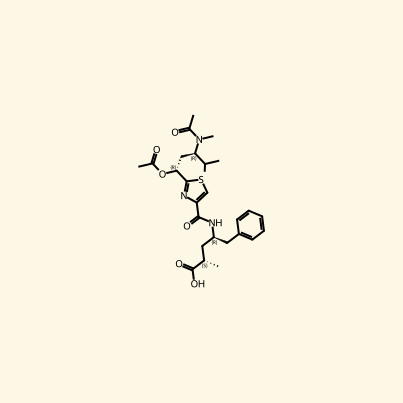 CC(=O)O[C@H](C[C@H](C(C)C)N(C)C(C)=O)c1nc(C(=O)N[C@@H](Cc2ccccc2)C[C@H](C)C(=O)O)cs1